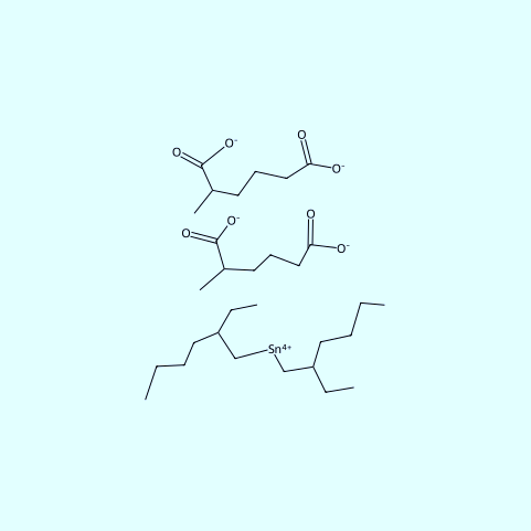 CC(CCCC(=O)[O-])C(=O)[O-].CC(CCCC(=O)[O-])C(=O)[O-].CCCCC(CC)[CH2][Sn+4][CH2]C(CC)CCCC